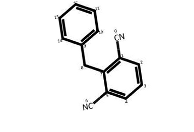 N#Cc1cccc(C#N)c1Cc1ccccc1